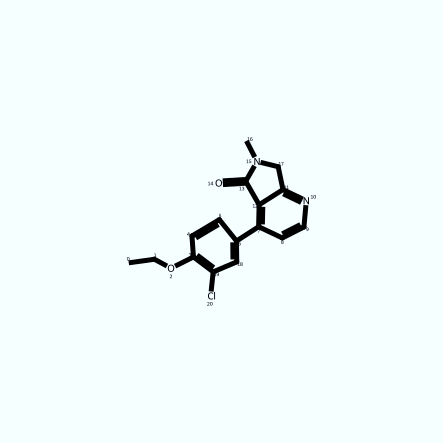 CCOc1ccc(-c2ccnc3c2C(=O)N(C)C3)cc1Cl